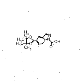 CC1(C)OB(C2=CCC3C(=C2)C=NN3C(=O)O)OC1(C)C